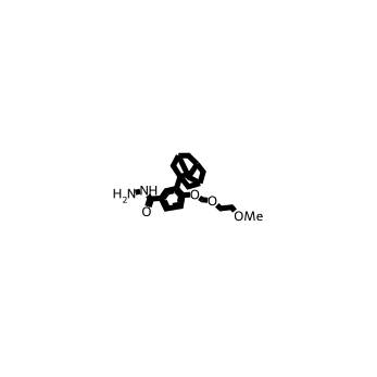 COCCOCOc1ccc(C(=O)NN)cc1C12CC3CC(CC(C3)C1)C2